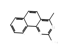 Cc1nc(C(C)(C)C)nc2c1ccc1ccccc12